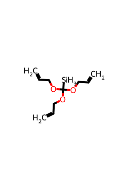 C=CCOC([SiH3])(OCC=C)OCC=C